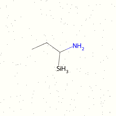 CCC(N)[SiH3]